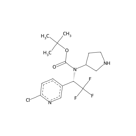 CC(C)(C)OC(=O)N(C1CCNC1)[C@@H](c1ccc(Cl)nc1)C(F)(F)F